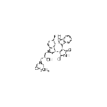 CCN(CC)CC(O)Cn1cc(C2=C(c3c[nH]c4ccccc34)C(=O)NC2=O)c2cc(F)ccc21